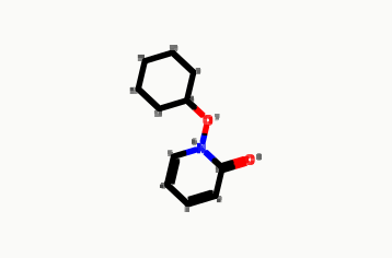 O=c1ccccn1OC1CCCCC1